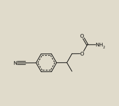 CC(COC(N)=O)c1ccc(C#N)cc1